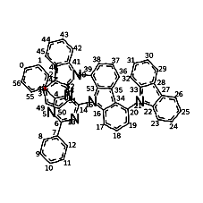 c1ccc(-c2nc(-c3ccccc3)nc(-n3c4cccc(-n5c6ccccc6c6ccccc65)c4c4cccc(-n5c6ccccc6c6ccccc65)c43)n2)cc1